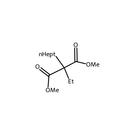 CCCCCCCC(CC)(C(=O)OC)C(=O)OC